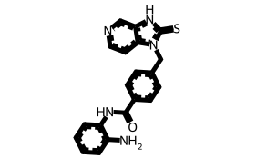 Nc1ccccc1NC(=O)c1ccc(Cn2c(=S)[nH]c3cnccc32)cc1